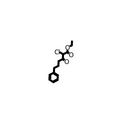 CCOC(=O)C(Cl)C(=O)CCCc1ccccc1